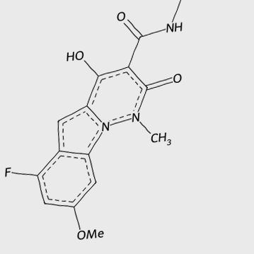 COc1cc(F)c2cc3c(O)c(C(=O)NCC(=O)O)c(=O)n(C)n3c2c1